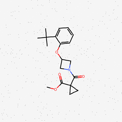 COC(=O)C1(C(=O)N2CC(Oc3ccccc3C(C)(C)C)C2)CC1